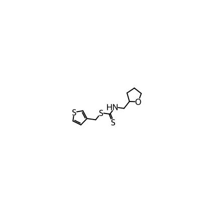 S=C(NCC1CCCO1)SCc1ccsc1